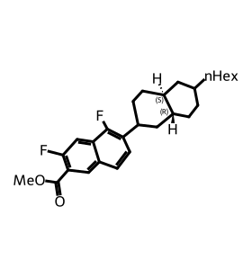 CCCCCCC1CC[C@@H]2CC(c3ccc4cc(C(=O)OC)c(F)cc4c3F)CC[C@H]2C1